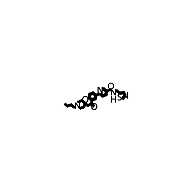 CCCCN1CCC2(CC1)CC(=O)c1cc(-c3ccc(C(=O)NCc4cncs4)cn3)ccc1O2